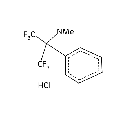 CNC(c1ccccc1)(C(F)(F)F)C(F)(F)F.Cl